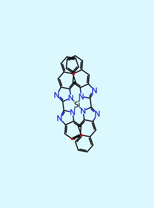 c1ccc2cc3c(cc2c1)nc1n3[Si]2(n3c-1nc1cc4ccccc4cc13)n1c(nc3cc4ccccc4cc31)-c1nc3cc4ccccc4cc3n12